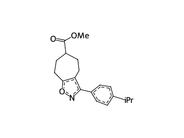 COC(=O)C1CCc2onc(-c3ccc(C(C)C)cc3)c2CC1